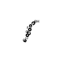 O=C1c2ccc(OC[C@@H]3CCCO3)cc2CCN1c1ccc(N2CCC(N3CCC(O)CC3)C2)c(F)c1